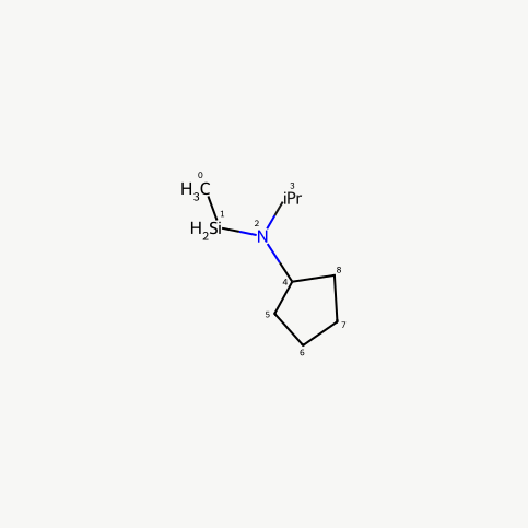 C[SiH2]N(C(C)C)C1CCCC1